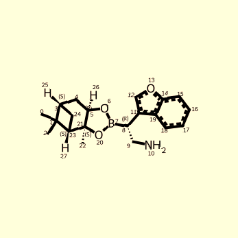 CC1(C)[C@@H]2C[C@H]3OB([C@@H](CN)c4coc5ccccc45)O[C@@]3(C)[C@H]1C2